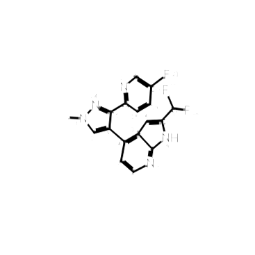 Cn1cc(-c2ccnc3[nH]c(C(F)F)cc23)c(-c2ccc(F)cn2)n1